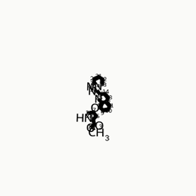 COC(=O)C1CC(Oc2cccc3ccc(-c4nnc5ccccn45)nc23)CN1